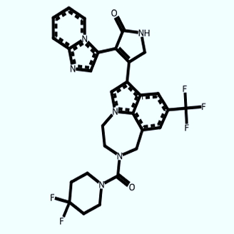 O=C1NCC(c2cn3c4c(cc(C(F)(F)F)cc24)CN(C(=O)N2CCC(F)(F)CC2)CC3)=C1c1cnc2ccccn12